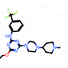 CCOc1nc(Nc2cccc(C(F)(F)F)c2)nc(N2CCN(C3CCN(C)CC3)CC2)n1